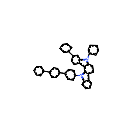 c1ccc(-c2ccc(-c3ccc(-n4c5ccccc5c5ccc6c(c7ccc(-c8ccccc8)cc7n6-c6ccccc6)c54)cc3)cc2)cc1